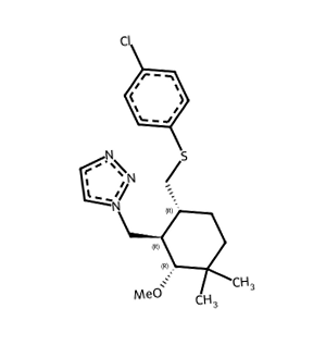 CO[C@@H]1[C@@H](Cn2ccnn2)[C@H](CSc2ccc(Cl)cc2)CCC1(C)C